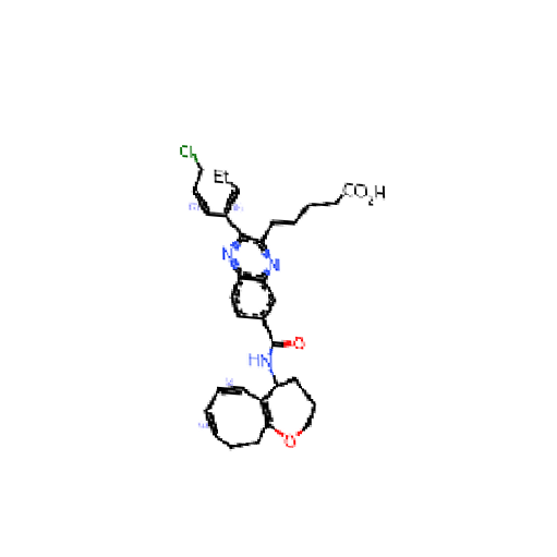 CC/C=C(\C=C/CCl)c1nc2ccc(C(=O)NC3CCCOC4=C3/C=C\C=C/CC4)cc2nc1CCCCC(=O)O